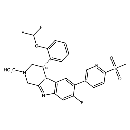 CS(=O)(=O)c1ccc(-c2cc3c(cc2F)nc2n3[C@@H](c3ccccc3OC(F)F)CN(C(=O)O)C2)cn1